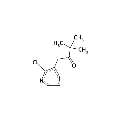 CC(C)(C)C(=O)Cc1cccnc1Cl